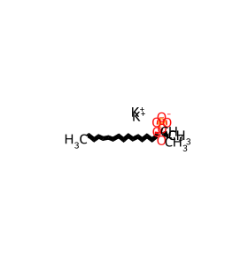 CCCCCCCCCCCCCCCC(OOP(=O)([O-])[O-])OC(C)(C)C.[K+].[K+]